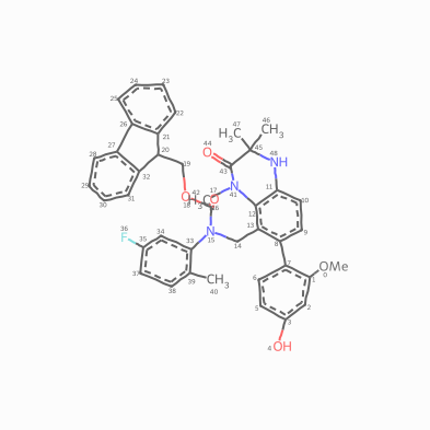 COc1cc(O)ccc1-c1ccc2c(c1CN(C(=O)OCC1c3ccccc3-c3ccccc31)c1cc(F)ccc1C)N(C)C(=O)C(C)(C)N2